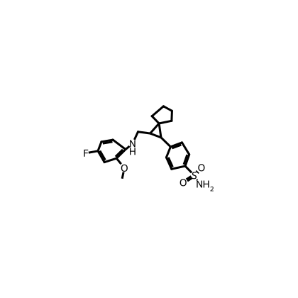 COc1cc(F)ccc1NCC1C(c2ccc(S(N)(=O)=O)cc2)C12CCCC2